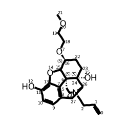 C=CCN1CC[C@]23c4c5ccc(O)c4OC2[C@@H](OCCOC)CC[C@@]3(O)C1C5